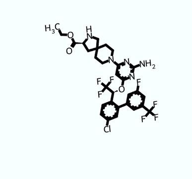 CCOC(=O)[C@@H]1CC2(CCN(c3cc(O[C@H](c4ccc(Cl)cc4-c4cc(F)cc(C(F)(F)F)c4)C(F)(F)F)nc(N)n3)CC2)CN1